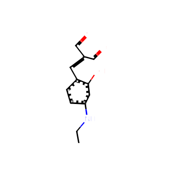 CCNc1ccc(C=C(C=O)C=O)c(O)c1